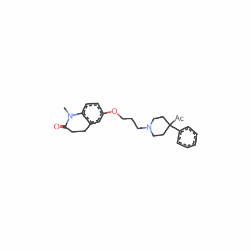 CC(=O)C1(c2ccccc2)CCN(CCCOc2ccc3c(c2)CCC(=O)N3C)CC1